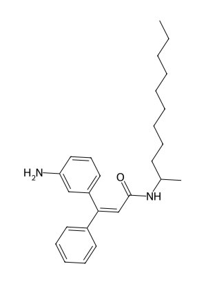 CCCCCCCCCC(C)NC(=O)C=C(c1ccccc1)c1cccc(N)c1